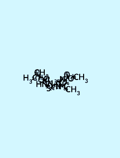 CCOC(=O)c1cc(CC)n2nc(-c3csc(NC(=O)OCC(C)C)n3)cc2n1